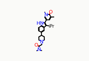 Cc1cc(-c2[nH]c3ccc(C4CCN(CC(=O)N(C)C)CC4)cc3c2C(C)C)cn(C)c1=O